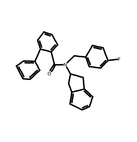 O=C(c1ccccc1-c1ccccc1)N(Cc1ccc(F)cc1)C1Cc2ccccc2C1